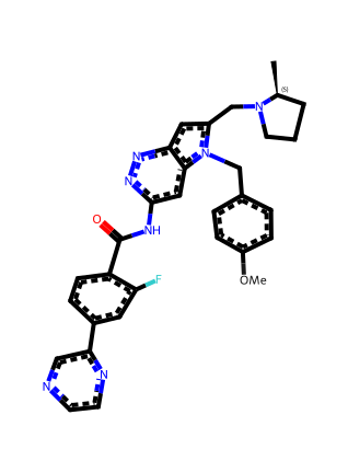 COc1ccc(Cn2c(CN3CCC[C@@H]3C)cc3nnc(NC(=O)c4ccc(-c5cnccn5)cc4F)cc32)cc1